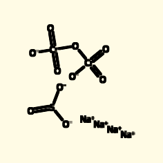 O=S([O-])[O-].[Na+].[Na+].[Na+].[Na+].[O]=[Cr](=[O])([O-])[O][Cr](=[O])(=[O])[O-]